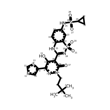 CC(C)(C)CCn1nc(-c2cncs2)c(O)c(C2=NS(=O)(=O)c3cc(NS(=O)(=O)C4CC4)ccc3N2)c1=O